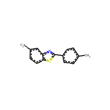 Cc1ccc(-c2nc3cc([N+](=O)[O-])ccc3s2)cc1